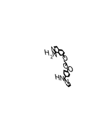 N=C(c1ccc(C(=O)OCCOc2ccc3ccnc(N)c3c2)cc1)N1CC=CC1